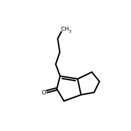 CCCCC1=C2CCCC2CC1=O